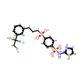 O=S(=O)(CCCc1cccc(C(F)(F)CF)c1)c1ccc(S(=O)(=O)Nc2nccs2)cc1